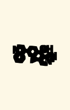 O[C@@H](c1c(C2CC2)ccn2cncc12)C1CCC(c2ccnc3ccccc23)CC1